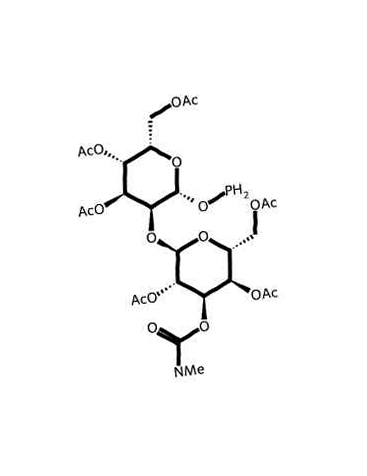 CNC(=O)O[C@H]1[C@H](OC(C)=O)[C@@H](O[C@@H]2[C@@H](OP)O[C@@H](COC(C)=O)[C@@H](OC(C)=O)[C@@H]2OC(C)=O)O[C@H](COC(C)=O)[C@H]1OC(C)=O